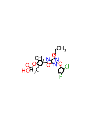 CCCOc1nc(Oc2ccc(F)cc2Cl)nc2oc(-c3cc(C)c(OCC(=O)O)c(C)c3)nc12